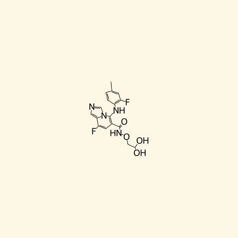 Cc1ccc(Nc2c(C(=O)NOCC(O)O)cc(F)c3cncn23)c(F)c1